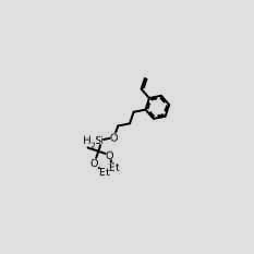 C=Cc1ccccc1CCCO[SiH2]C(C)(OCC)OCC